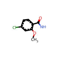 COc1cc(Cl)ccc1C([NH])=O